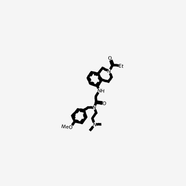 CCC(=O)N1CCc2c(cccc2NCC(=O)N(CCN(C)C)Cc2ccc(OC)cc2)C1